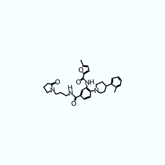 Cc1ccc(C(=O)Nc2cc(C(=O)NCCCN3CCCC3=O)ccc2N2CCC(c3ccccc3C)CC2)o1